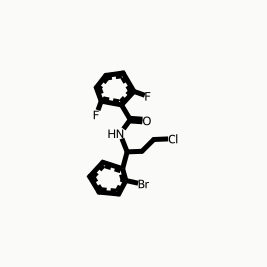 O=C(NC(CCCl)c1ccccc1Br)c1c(F)cccc1F